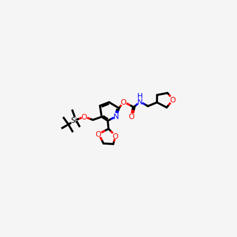 CC(C)(C)[Si](C)(C)OCc1ccc(OC(=O)NCC2CCOC2)nc1C1OCCO1